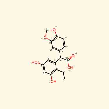 CCc1c(O)cc(O)cc1C(C(=O)O)c1ccc2c(c1)OCO2